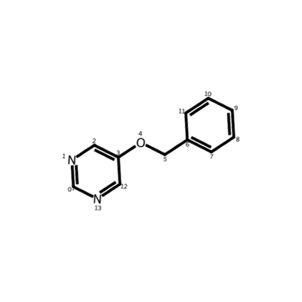 [c]1ncc(OCc2ccccc2)cn1